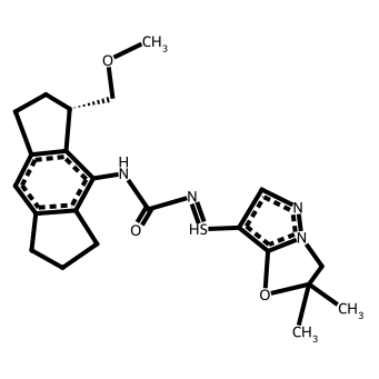 COC[C@H]1CCc2cc3c(c(NC(=O)/N=[SH]/c4cnn5c4OC(C)(C)C5)c21)CCC3